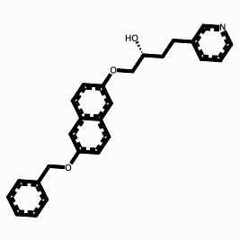 O[C@H](CCc1cccnc1)COc1ccc2cc(OCc3ccccc3)ccc2c1